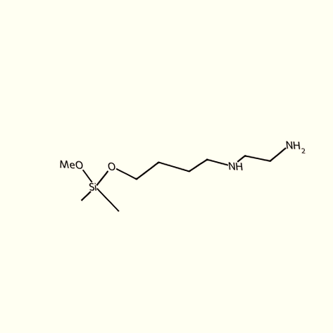 CO[Si](C)(C)OCCCCNCCN